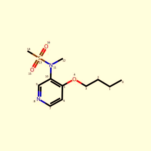 CCCCOc1ccncc1N(C)S(C)(=O)=O